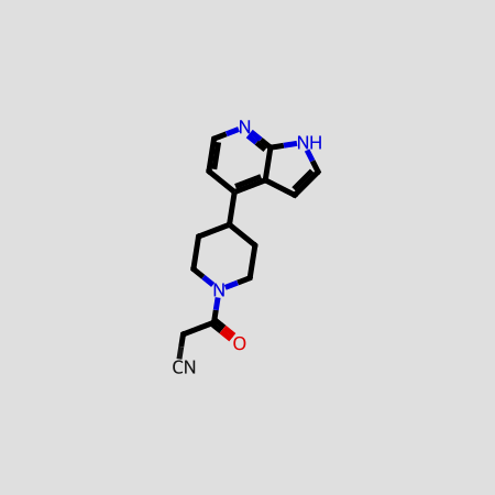 N#CCC(=O)N1CCC(c2ccnc3[nH]ccc23)CC1